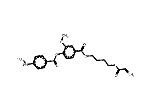 C=CC(=O)OCCCCOC(=O)c1ccc(OC(=O)c2ccc(NC)cc2)c(OC)c1